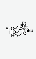 CCCCOCCO.CCOCCO.CCOCCOC(C)=O